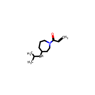 C=CC(=O)N1CCCC(BC(C)C)CC1